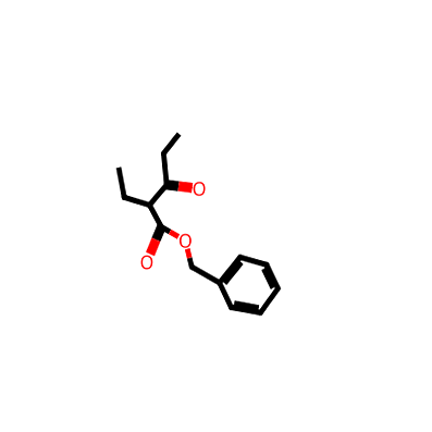 CCC(=O)C(CC)C(=O)OCc1ccccc1